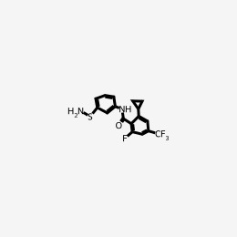 NSc1cccc(NC(=O)c2c(F)cc(C(F)(F)F)cc2C2CC2)c1